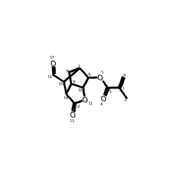 C=C(C)C(=O)OC1C2CC3C1OC(=O)C3C2C=O